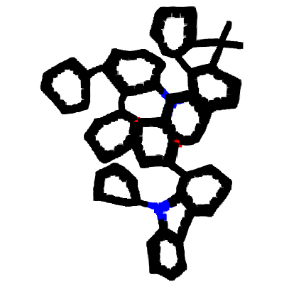 CC1(C)c2ccccc2-c2c(N(c3cccc(-c4cccc5c6ccccc6n(-c6ccccc6)c45)c3)c3cccc(-c4ccccc4)c3-c3ccccc3-c3ccccc3)cccc21